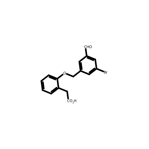 O=Cc1cc(Br)cc(COc2ccccc2CC(=O)O)c1